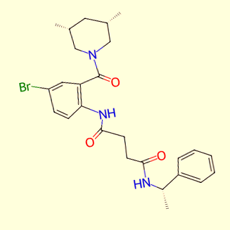 C[C@@H]1C[C@H](C)CN(C(=O)c2cc(Br)ccc2NC(=O)CCC(=O)N[C@@H](C)c2ccccc2)C1